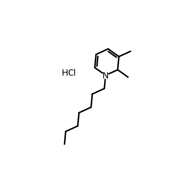 CCCCCCCN1C=CC=C(C)C1C.Cl